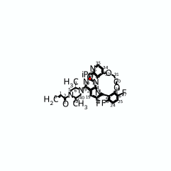 C=CC(=O)N1C[C@H](C)N(c2nc(=O)n3c4nc(c(F)cc24)-c2c(F)ccc(F)c2OCCOc2ccnc(C(C)C)c2-3)C[C@H]1C